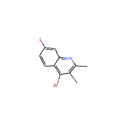 Cc1nc2cc(I)ccc2c(Br)c1C